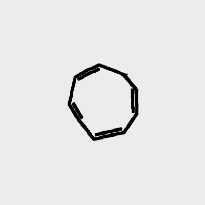 [CH]1C=CC=CC=CC=C1